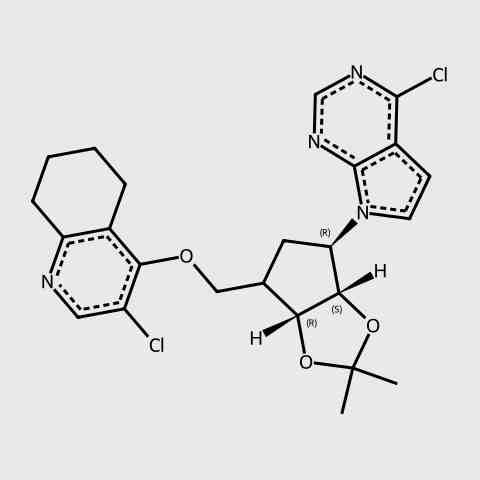 CC1(C)O[C@@H]2[C@H](O1)C(COc1c(Cl)cnc3c1CCCC3)C[C@H]2n1ccc2c(Cl)ncnc21